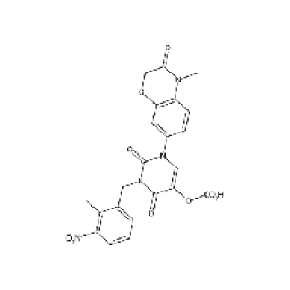 Cc1c(Cn2c(=O)c(OC(=O)O)cn(-c3ccc4c(c3)OCC(=O)N4C)c2=O)cccc1[N+](=O)[O-]